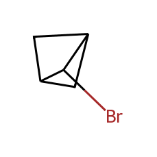 BrC1C2CC1C2